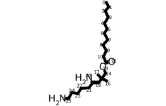 CCCCCCCCCCCC(=O)OCC(C)(C)C=C(N)CCCCCN